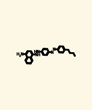 CCCCc1ccc(/N=N/c2ccc(NNc3ccc(N)c4ccccc34)cc2)cc1